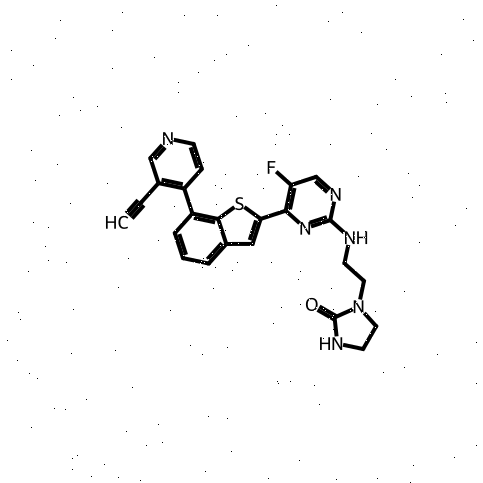 C#Cc1cnccc1-c1cccc2cc(-c3nc(NCCN4CCNC4=O)ncc3F)sc12